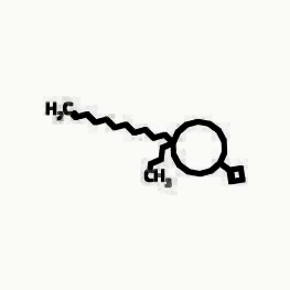 C=CCCCCCCCCCC1(CCCC)CCCCCCCC(C2=CCC2)CCCCC1